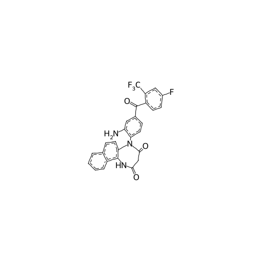 Nc1cc(C(=O)c2ccc(F)cc2C(F)(F)F)ccc1N1C(=O)CC(=O)Nc2c1ccc1ccccc21